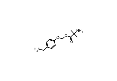 CC(C)(N)C(=O)OCOc1ccc(CN)cc1